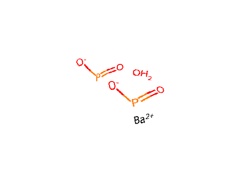 O.O=P[O-].O=P[O-].[Ba+2]